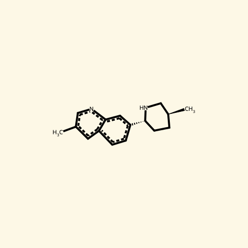 Cc1cnc2cc([C@H]3CC[C@H](C)CN3)ccc2c1